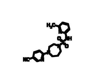 Cc1cccc(NS(=O)(=O)N2CCCN(c3ccc(C#N)cn3)CC2)n1